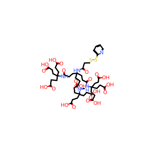 CN(C(=O)CCC(CCC(=O)NC(CCC(=O)O)(CCC(=O)O)CCC(=O)O)(CCC(=O)NC(CCC(=O)O)(CCC(=O)O)CCC(=O)O)NC(=O)CCSSc1ccccn1)C(CCC(=O)O)(CCC(=O)O)CCC(=O)O